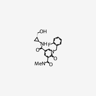 CNC(=O)c1cc(C(=O)N[C@H]2C[C@@H]2CO)cn(Cc2ccccc2F)c1=O